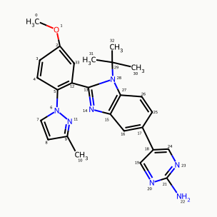 COc1ccc(-n2ccc(C)n2)c(-c2nc3cc(-c4cnc(N)nc4)ccc3n2C(C)(C)C)c1